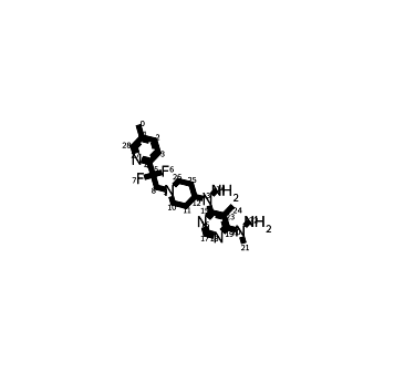 Cc1ccc(C(F)(F)CN2CCC(N(N)c3ncnc(N(C)N)c3C)CC2)nc1